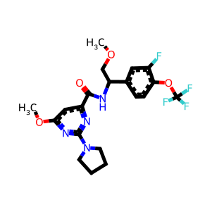 COCC(NC(=O)c1cc(OC)nc(N2CCCC2)n1)c1ccc(OC(F)(F)F)c(F)c1